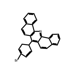 BrC1=CCC(c2c3ccc4ccccc4c3nc3c2ccc2ccccc23)C=C1